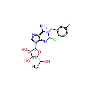 CC(O)[C@H]1O[C@@H](n2cnc3c2=NC(Cl)N(Cc2cccc(I)c2)C=3N)[C@H](O)[C@@H]1O